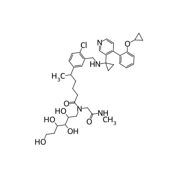 CNC(=O)CN(CC(O)C(O)C(O)CCO)C(=O)CCCC(C)c1ccc(Cl)c(CNC2(c3cnccc3-c3ccccc3OC3CC3)CC2)c1